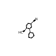 C#Cc1ccc(C#N)cc1-c1ccccc1